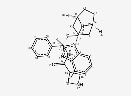 Cc1nc2c(F)cccc2n1[C@@H]1C[C@H]2CC[C@@H](C1)N2CC[C@H](NC(=O)C1CNC1)c1ccccc1